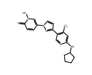 CCCn1cc(-n2ccc(-c3cnc(NC4CCCC4)cc3C(F)(F)F)n2)ccc1=O